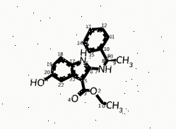 CCOC(=O)c1c(N[C@H](C)c2ccccc2)[nH]c2ccc(O)cc12